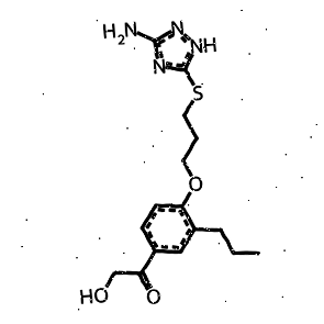 CCCc1cc(C(=O)CO)ccc1OCCCSc1nc(N)n[nH]1